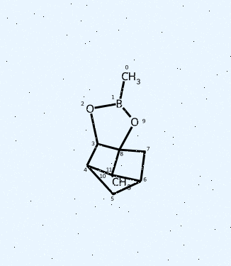 CB1OC2C3CC4CC2(O1)C43C